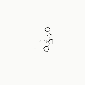 Cc1cc(C)cc(-c2cncc(NC(=O)c3ccccc3)c2N2CCC(CN)CC2)c1